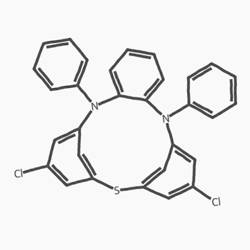 Clc1cc2cc(c1)n(-c1ccccc1)c1ccccc1n(-c1ccccc1)c1cc(Cl)cc(c1)s2